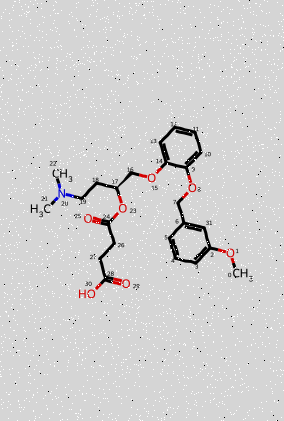 COc1cccc(COc2ccccc2OC[C@H](CCN(C)C)OC(=O)CCC(=O)O)c1